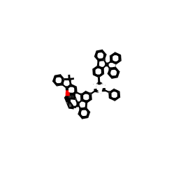 CC1(C)c2ccccc2-c2ccc(-c3cc(-c4nc(-c5ccccc5)nc(-c5ccc6c(c5)C(c5ccccc5)(c5ccccc5)c5ccccc5-6)n4)cc4c3C3(c5ccccc5-4)C4CC5CC(C4)CC3C5)cc21